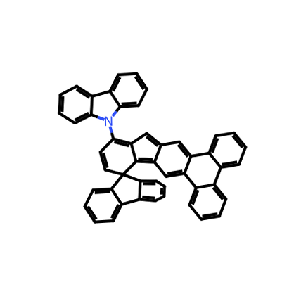 C1=CC2(C3=c4cc5c6ccccc6c6ccccc6c5cc4=CC3=C1n1c3ccccc3c3ccccc31)c1ccccc1-c1ccccc12